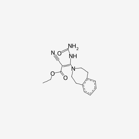 CCOC(=O)/C(C#N)=C(/NC(N)=O)N1CCc2ccccc2CC1